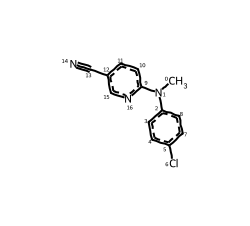 CN(c1ccc(Cl)cc1)c1ccc(C#N)cn1